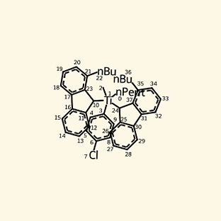 CCCC[CH2][Ti]([CH3])([c]1ccc(Cl)cc1)([CH]1c2ccccc2-c2cccc(CCCC)c21)[CH]1c2ccccc2-c2cccc(CCCC)c21